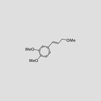 [CH2]OCC=Cc1ccc(OC)c(OC)c1